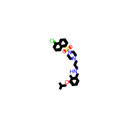 Cc1c(CNCCCN2CCN(S(=O)(=O)c3cccc4c(Cl)cccc34)CC2)cccc1OCC(C)C